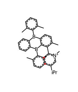 Cc1cccc(C)c1B1c2ccccc2B(c2c(C)cccc2C)c2c1ccc(C)c2-c1ccc(C(C)C)c[n+]1C